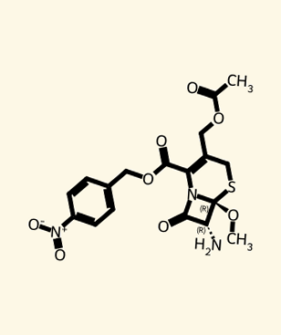 CO[C@]12SCC(COC(C)=O)=C(C(=O)OCc3ccc([N+](=O)[O-])cc3)N1C(=O)[C@H]2N